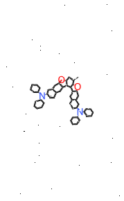 Cc1cc2oc3cc4cc(N(c5ccccc5)c5ccccc5)ccc4cc3c2c2c1oc1cc3cc(N(c4ccccc4)c4ccccc4)ccc3cc12